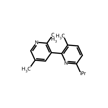 Cc1cnc(C)c(-c2nc(C(C)C)ccc2C)c1